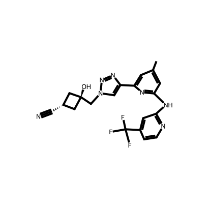 Cc1cc(Nc2cc(C(F)(F)F)ccn2)nc(-c2cn(C[C@]3(O)C[C@H](C#N)C3)nn2)c1